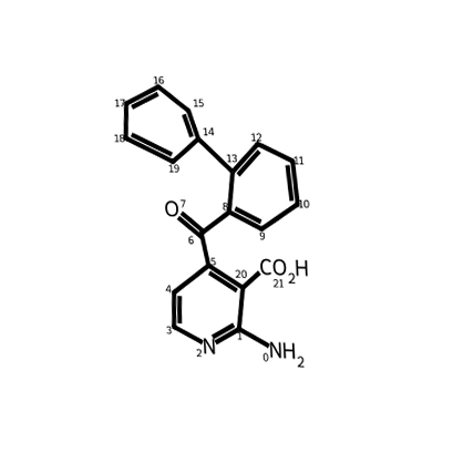 Nc1nccc(C(=O)c2ccccc2-c2ccccc2)c1C(=O)O